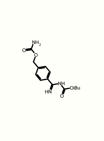 CC(C)COC(=O)NC(=N)c1ccc(COC(N)=O)cc1